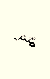 CN(C)N=CCN([C]=O)c1ccccc1